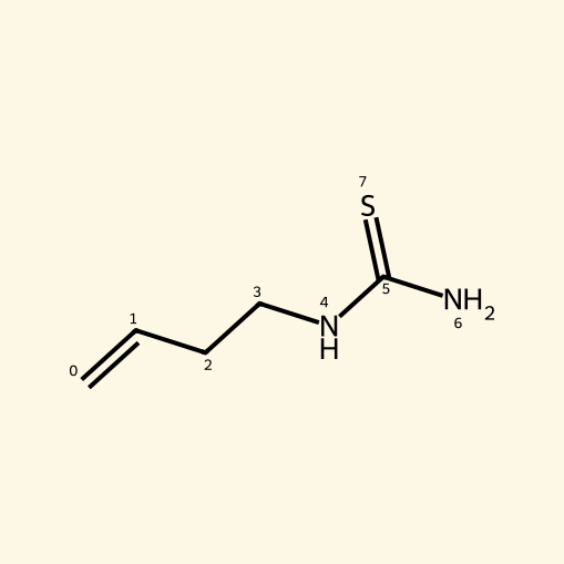 C=CCCNC(N)=S